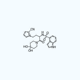 N#Cc1cccn1CCC(NS(=O)(=O)c1cccc2[nH]ccc12)C(=O)N1CCS(O)(O)CC1